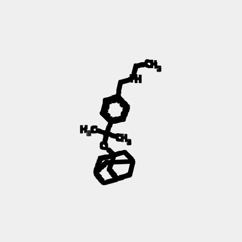 CCPCc1ccc(C(C)(C)OC23CC4CC(CC(C4)C2)C3)cc1